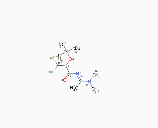 C/C(=N\C(=O)C(O[Si](C)(C)C(C)(C)C)C(F)F)N(C)C